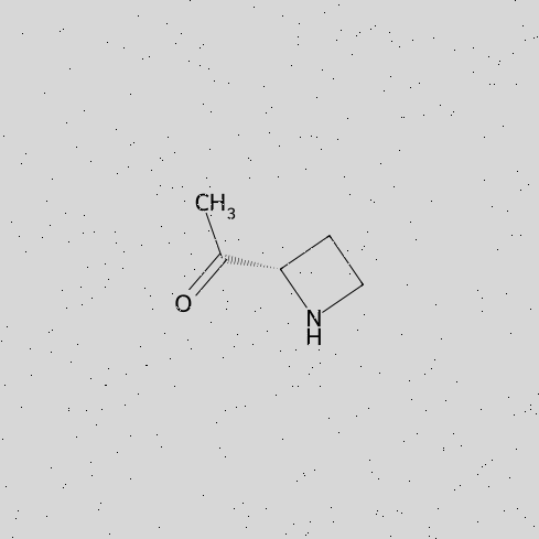 CC(=O)[C@@H]1CCN1